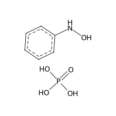 O=P(O)(O)O.ONc1ccccc1